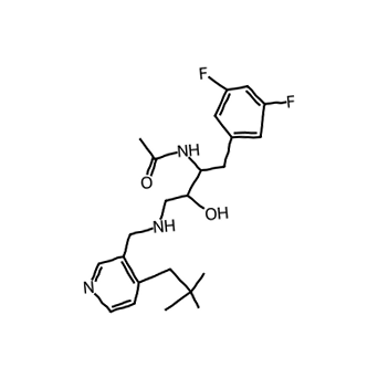 CC(=O)NC(Cc1cc(F)cc(F)c1)C(O)CNCc1cnccc1CC(C)(C)C